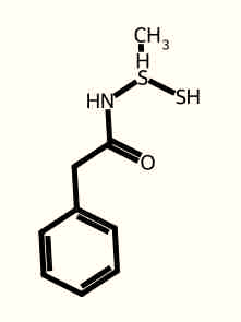 C[SH](S)NC(=O)Cc1ccccc1